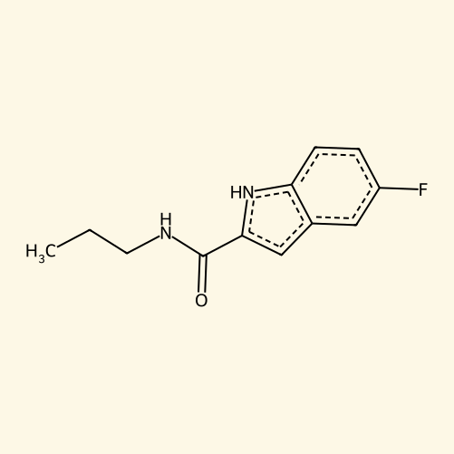 CCCNC(=O)c1cc2cc(F)ccc2[nH]1